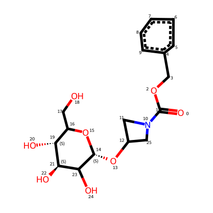 O=C(OCc1ccccc1)N1CC(O[C@H]2OC(CO)[C@@H](O)[C@H](O)C2O)C1